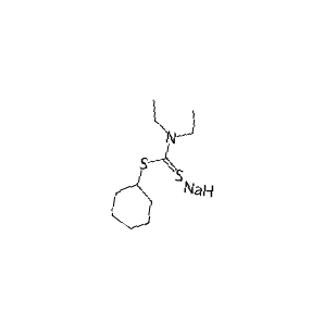 CCN(CC)C(=S)SC1CCCCC1.[NaH]